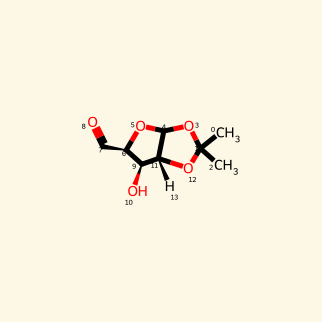 CC1(C)OC2O[C@H](C=O)[C@H](O)[C@H]2O1